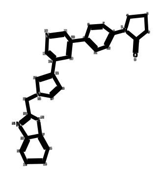 O=C1CCCN1c1ccc(-c2cncc(-c3ccn(Cc4nc5ccccc5s4)c3)c2)cc1